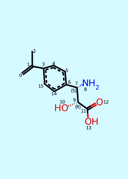 C=C(C)c1ccc([C@H](N)[C@@H](O)C(=O)O)cc1